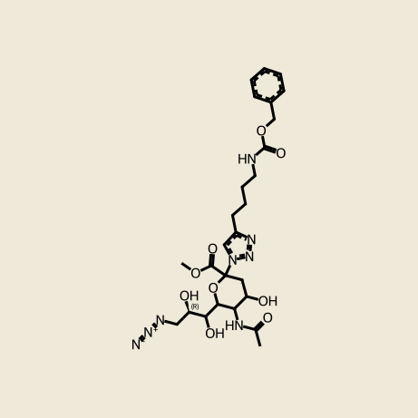 COC(=O)C1(n2cc(CCCCNC(=O)OCc3ccccc3)nn2)CC(O)C(NC(C)=O)C(C(O)[C@H](O)CN=[N+]=[N-])O1